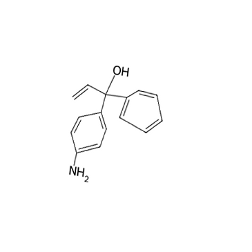 C=CC(O)(c1ccccc1)c1ccc(N)cc1